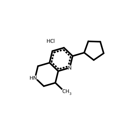 CC1CNCc2ccc(C3CCCC3)nc21.Cl